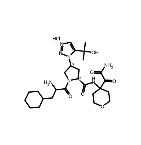 CC(C)(O)c1cnnn1[C@H]1C[C@@H](C(=O)NC2(C(=O)C(N)=O)CCOCC2)N(C(=O)C(N)CC2CCCCC2)C1.Cl